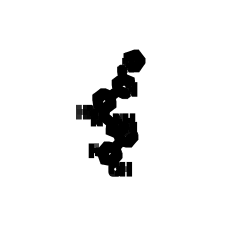 Oc1cc(F)cc(-c2ccnc3[nH]c(-c4n[nH]c5ccc(-c6cncc(CN7CCCC7)c6)cc45)cc23)c1